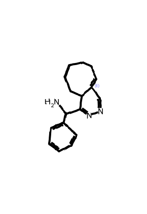 NC(C1=NN=C/C2=C/CCCCCC12)c1ccccc1